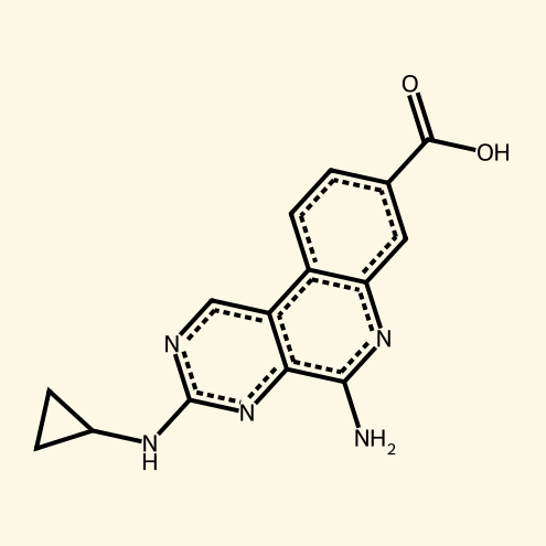 Nc1nc2cc(C(=O)O)ccc2c2cnc(NC3CC3)nc12